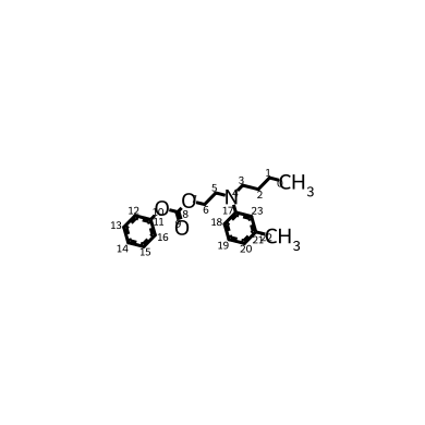 CCCCN(CCOC(=O)Oc1ccccc1)c1cccc(C)c1